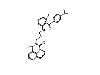 CN(C)c1ccc(C(=O)c2c(F)cccc2NCCCN2C(=O)c3cccc4cccc(c34)C2=O)cc1